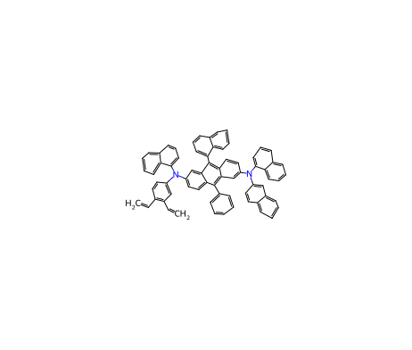 C=Cc1ccc(N(c2ccc3c(-c4ccccc4)c4cc(N(c5ccc6ccccc6c5)c5cccc6ccccc56)ccc4c(-c4cccc5ccccc45)c3c2)c2cccc3ccccc23)cc1C=C